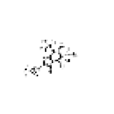 [2H]C([2H])(CC)n1c(=O)c2[nH]c(C34CC5CC(CC3C5)C4)nc2n(C([2H])([2H])CC)c1=O